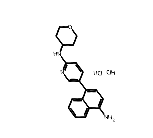 Cl.Cl.Nc1ccc(-c2ccc(NC3CCOCC3)nc2)c2ccccc12